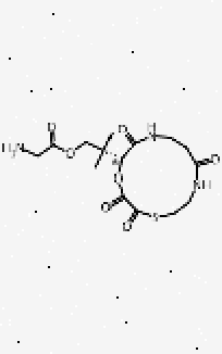 CC(C)(COC(=O)CN)[C@H]1OC(=O)C(=O)SCCNC(=O)CCNC1=O